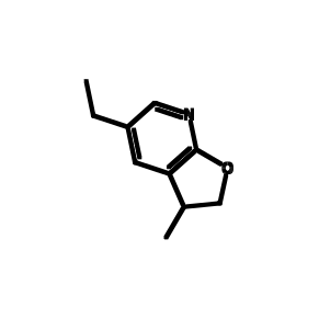 CCc1cnc2c(c1)C(C)CO2